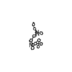 c1ccc(-c2ccc(-c3cc(-c4ccc(-c5cccc(-c6nc7ccccc7c7cc8c(cc67)-c6ccccc6C8(c6ccccc6)c6ccccc6)c5)cc4)nc(-c4ccccc4)n3)cc2)cc1